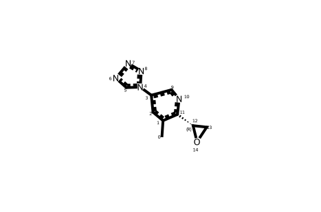 Cc1cc(-n2cnnn2)cnc1[C@@H]1CO1